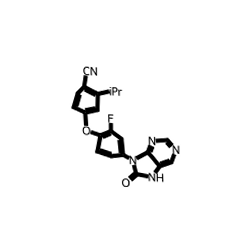 CC(C)c1cc(Oc2ccc(-n3c(=O)[nH]c4cncnc43)cc2F)ccc1C#N